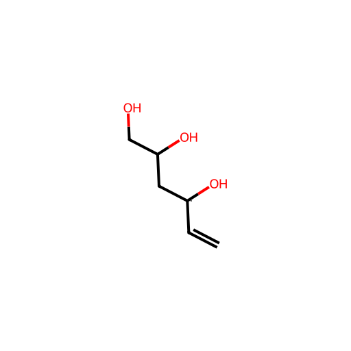 C=C[C](O)CC(O)CO